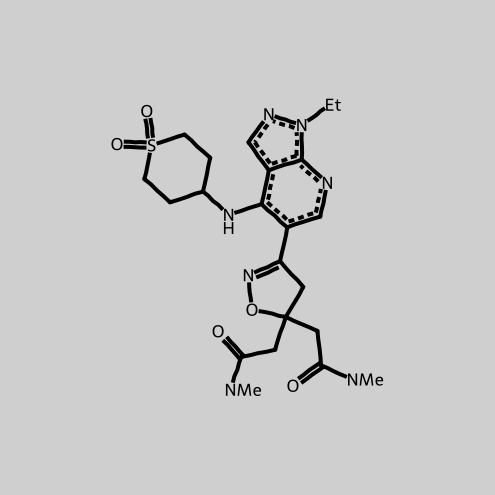 CCn1ncc2c(NC3CCS(=O)(=O)CC3)c(C3=NOC(CC(=O)NC)(CC(=O)NC)C3)cnc21